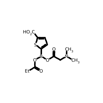 CCC(=O)OB(OC(=O)CN(C)C)c1ccc(C(=O)O)s1